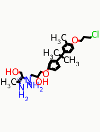 C/C(N)=C(\CO)N(N)CC(O)COc1ccc(C(C)(C)c2ccc(OCCCCl)c(C)c2)cc1